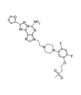 CS(=O)(=O)CCOc1cc(N2CCN(CCn3cnc4c3nc(N)n3nc(-c5ccco5)nc43)CC2)c(F)cc1F